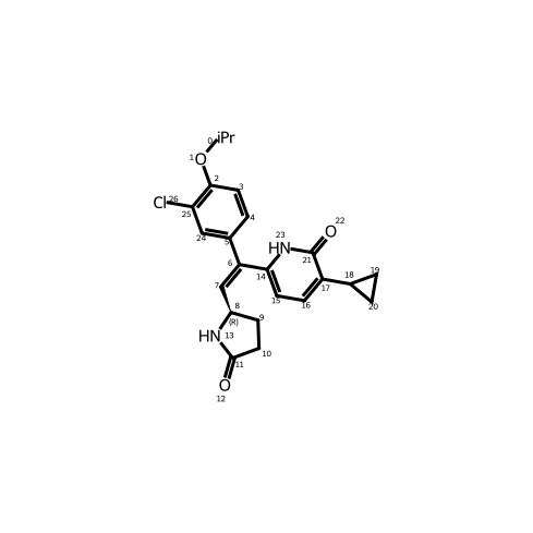 CC(C)Oc1ccc(C(=C[C@H]2CCC(=O)N2)c2ccc(C3CC3)c(=O)[nH]2)cc1Cl